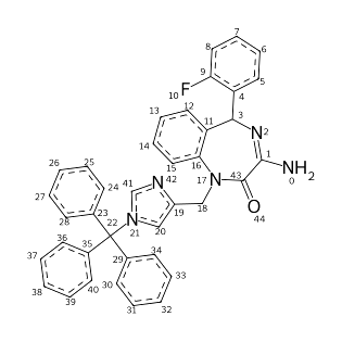 NC1=NC(c2ccccc2F)c2ccccc2N(Cc2cn(C(c3ccccc3)(c3ccccc3)c3ccccc3)cn2)C1=O